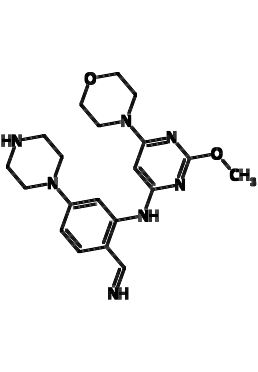 COc1nc(Nc2cc(N3CCNCC3)ccc2C=N)cc(N2CCOCC2)n1